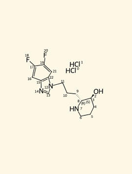 Cl.Cl.O[C@H]1CCCN[C@@H]1CCCn1cnc2cc(F)c(F)cc21